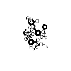 CN(C)C(=O)c1cccc(S(=O)(=O)N2CCS[C@H]2C(=O)O[C@@H](Cc2c(Cl)c[n+]([O-])cc2Cl)c2ccc(OC(F)F)c(OC3CCCC3)c2)c1